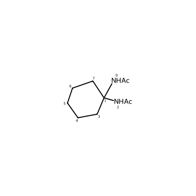 CC(=O)NC1(NC(C)=O)CCCCC1